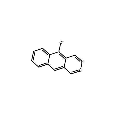 [O-][n+]1c2ccccc2cc2cnncc21